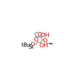 C#CCO[C@H]1[C@@H](O)[C@@H](CO[Si](C)(C)C(C)(C)C)O[C@@]2(CCCO2)[C@@H]1O